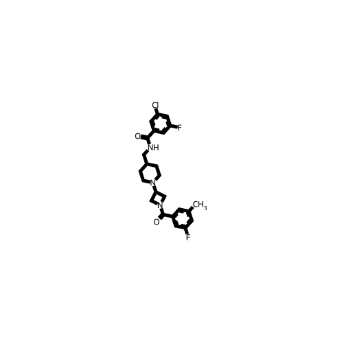 Cc1cc(F)cc(C(=O)N2CC(N3CCC(CNC(=O)c4cc(F)cc(Cl)c4)CC3)C2)c1